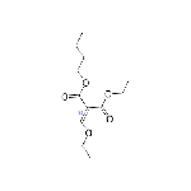 CCCCOC(=O)/C(=C/OCC)C(=O)OCC